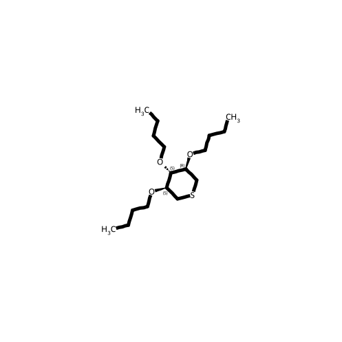 CCCCO[C@@H]1[C@@H](OCCCC)CSC[C@H]1OCCCC